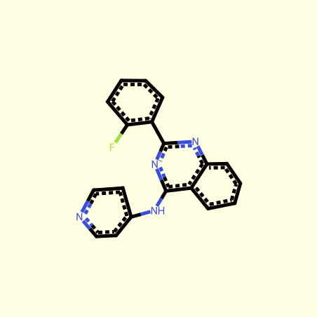 Fc1ccccc1-c1nc(Nc2ccncc2)c2ccccc2n1